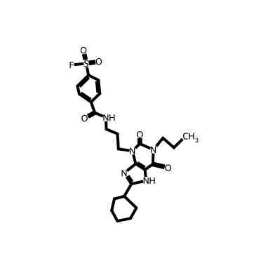 CCCn1c(=O)c2[nH]c(C3CCCCC3)nc2n(CCCNC(=O)c2ccc(S(=O)(=O)F)cc2)c1=O